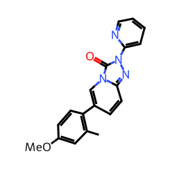 COc1ccc(-c2ccc3nn(-c4ccccn4)c(=O)n3c2)c(C)c1